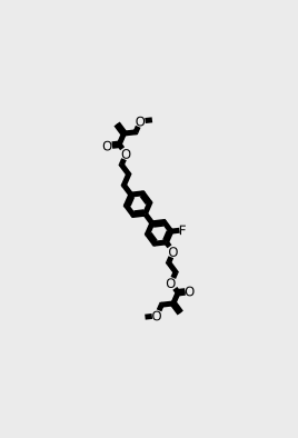 C=C(COC)C(=O)OCCCc1ccc(-c2ccc(OCCOC(=O)C(=C)COC)c(F)c2)cc1